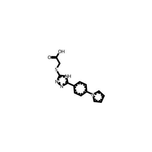 O=C(O)CSc1nnc(-c2ccc(-n3cccc3)cc2)[nH]1